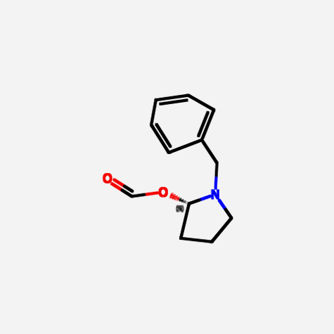 O=CO[C@H]1CCCN1Cc1ccccc1